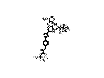 COC(=O)[C@H](CO)NC(=O)[C@H](CO[Si](C)(C)C(C)(C)C)NC(=O)c1csc(-c2ccc(CNC(=O)OC(C)(C)C)cc2)n1